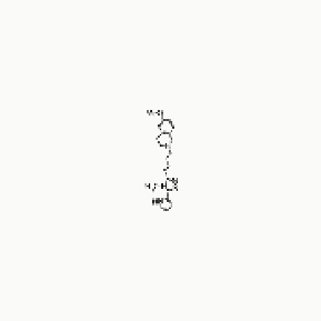 COc1ccc2c(c1)CCN(CCCSc1nnc(-c3ccc[nH]3)n1C)C2